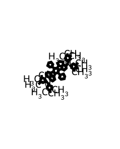 Cc1cc(N(c2cc(C)c(C)c(C)c2)c2ccc3c4c(-c5ccccc5)c5c6ccc(N(c7cc(C)c(C)c(C)c7)c7cc(C)c(C)c(C)c7)c7cccc(c5c(-c5ccccc5)c4c4cccc2c43)c76)cc(C)c1C